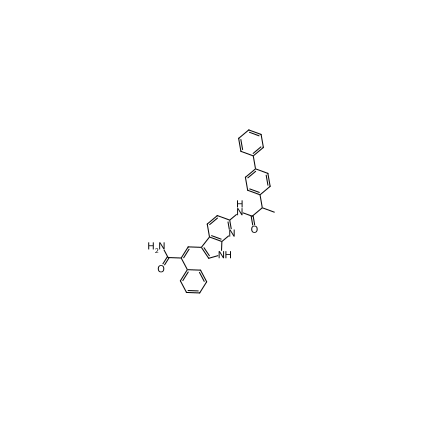 CC(C(=O)Nc1ccc2c(/C=C(/C(N)=O)c3ccccc3)c[nH]c2n1)c1ccc(-c2ccccc2)cc1